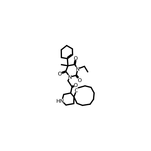 CCN1C(=O)N(CC(=O)C2CNCCC23CCCCCCCCC3)C(=O)C(C)(C2=CCCCC2)C1=O